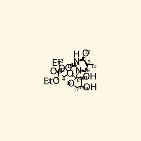 CCOP(=O)(CO[C@@]1(n2cc(C)c(=O)[nH]c2=O)OC[C@@H](O)[C@H]1O)OCC